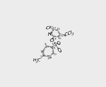 Cc1ccc(S(=O)(=O)Oc2cc(C(Cl)(Cl)Cl)cc(Cl)n2)cc1